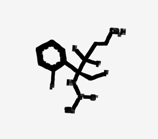 CC(C)(C)[S+]([O-])N[C@](CF)(c1ccccc1F)C(F)(F)CCC(=O)O